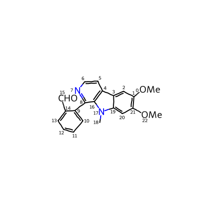 COc1cc2c3ccnc(-c4ccccc4C=O)c3n(C)c2cc1OC